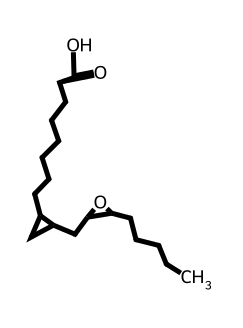 CCCCCC1OC1CC1CC1CCCCCCCC(=O)O